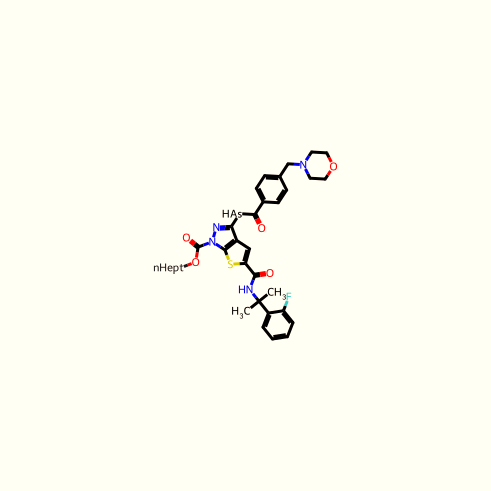 CCCCCCCOC(=O)n1nc([AsH]C(=O)c2ccc(CN3CCOCC3)cc2)c2cc(C(=O)NC(C)(C)c3ccccc3F)sc21